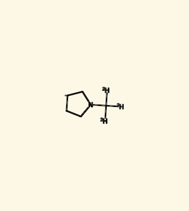 [2H]C([2H])([2H])N1C[CH]CC1